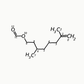 C=C(C)CCCC(C)CCOC=O